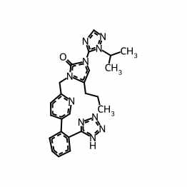 CCCc1cn(-c2ncnn2C(C)C)c(=O)n1Cc1ccc(-c2ccccc2-c2nnn[nH]2)cn1